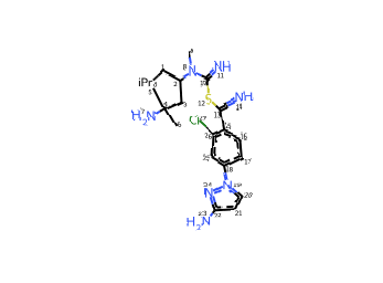 CC(C)CC(CC(C)(C)N)N(C)C(=N)SC(=N)c1ccc(-n2ccc(N)n2)cc1Cl